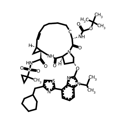 CC(C)n1c(O[C@@H]2C[C@H]3C(=O)N[C@]4(C(=O)NS(=O)(=O)C5(C)CC5)C[C@H]4/C=C\CCCCC[C@H](NC(=O)OC(C)(C)C)C(=O)N3C2)nc2c(-c3nc(CC4CCCCC4)cs3)cccc21